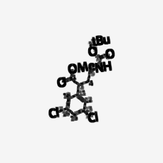 COC(=O)C(CCNC(=O)OC(C)(C)C)c1cc(Cl)cc(Cl)c1